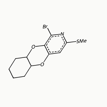 CSc1cc2c(c(Br)n1)OC1CCCCC1O2